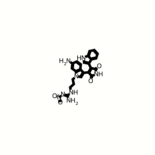 NC(=N[N+](=O)[O-])NCCCn1cc(C2=C(c3c[nH]c4ccccc34)C(=O)NC2=O)c2ccc(N)cc21